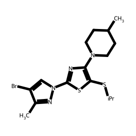 Cc1nn(-c2nc(N3CCC(C)CC3)c(SC(C)C)s2)cc1Br